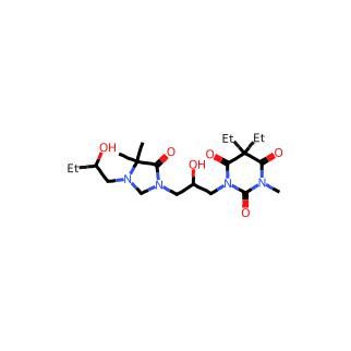 CCC(O)CN1CN(CC(O)CN2C(=O)N(C)C(=O)C(CC)(CC)C2=O)C(=O)C1(C)C